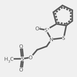 CS(=O)(=O)OCCN1Sc2ccccc2[S+]1[O-]